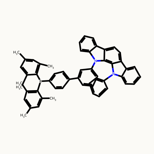 Cc1cc(C)c(B(c2ccc(-c3cccc(-n4c5ccccc5c5ccc6c7ccccc7n(-c7ccccc7)c6c54)c3)cc2)c2c(C)cc(C)cc2C)c(C)c1